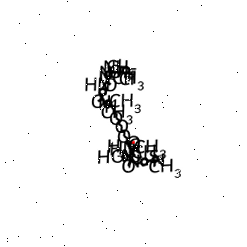 Cc1ncsc1-c1ccc(CNC(=O)[C@@H]2C[C@@H](O)CN2C(=O)C(NC(=O)CCOCCOCCOCCCN2[C@H](C)CN(C(=O)c3ccc(NC(=O)c4cc(OC(C)c5c(Cl)ccc(F)c5Cl)c(N)nn4)cc3)C[C@@H]2C)C(C)(C)C)cc1